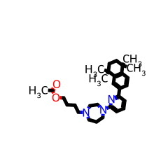 CC(=O)OCCCCN1CCCN(c2cccc(-c3ccc4c(c3)C(C)(C)CCC4(C)C)n2)CC1